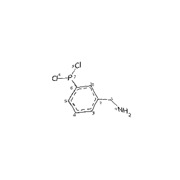 NCc1cccc(P(Cl)Cl)c1